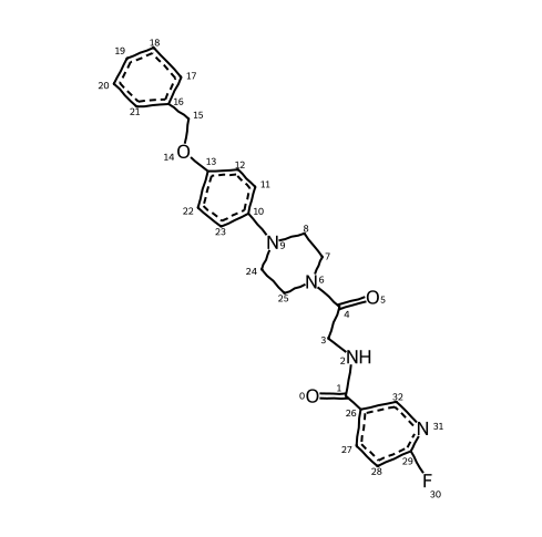 O=C(NCC(=O)N1CCN(c2ccc(OCc3ccccc3)cc2)CC1)c1ccc(F)nc1